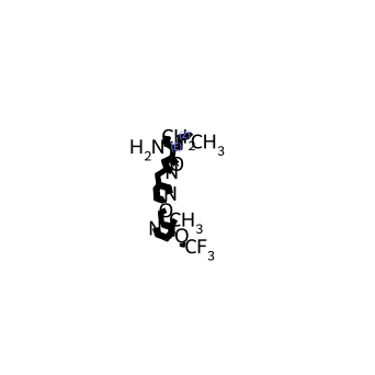 C=C(N)/C(=C\C=C/C)c1cc(Cc2ccc(OCc3nccc(OCC(F)(F)F)c3C)nc2)no1